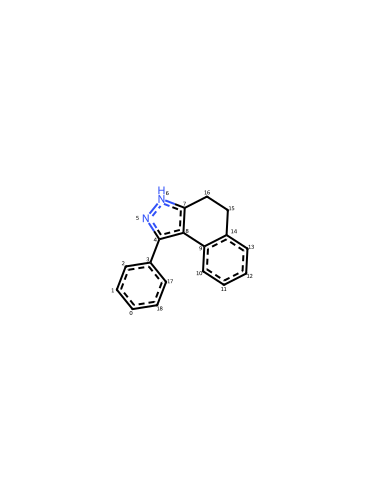 c1ccc(-c2n[nH]c3c2-c2ccccc2CC3)cc1